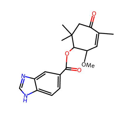 COC1C=C(C)C(=O)CC(C)(C)C1OC(=O)c1ccc2[nH]cnc2c1